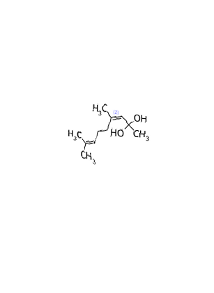 CC(C)=CCC/C(C)=C\C(C)(O)O